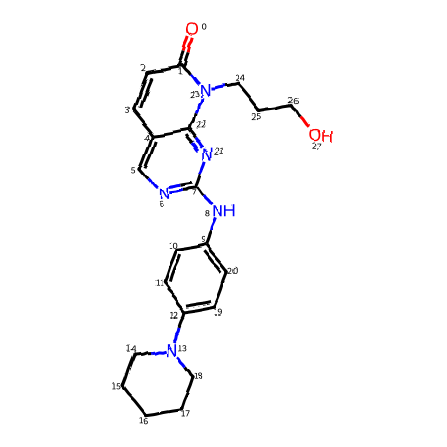 O=c1ccc2cnc(Nc3ccc(N4CCCCC4)cc3)nc2n1CCCO